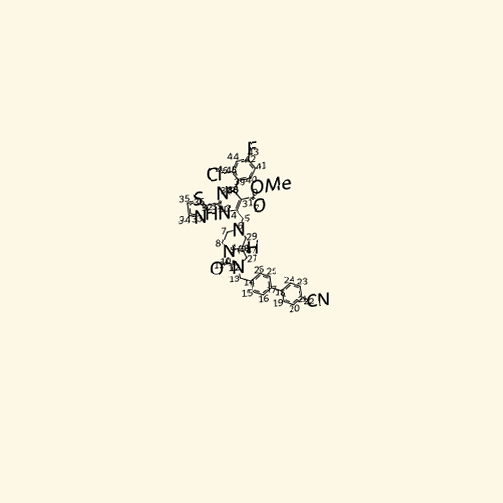 COC(=O)C1=C(CN2CCN3C(=O)N(Cc4ccc(-c5ccc(C#N)cc5)cc4)C[C@@H]3C2)NC(c2nccs2)=N[C@H]1c1ccc(F)cc1Cl